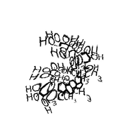 C[C@H](CC[C@@H](O[C@@H]1O[C@H](CO)C([C@@H]2O[C@H](CO)[C@@H](O)[C@H](O)[C@H]2O)[C@H](O)[C@H]1O[C@@H]1O[C@H](CO)C[C@H](O)[C@H]1O)C(C)(C)O)C1CC[C@@]2(C)C3CC=C4C(CC[C@H](O[C@@H]5O[C@H](CO[C@@H]6O[C@H](CO)[C@@H](O)[C@H](O)[C@H]6O)[C@@H](O)[C@H](O)[C@H]5O)C4(C)C)[C@]3(C)[C@H](O)C[C@]12C